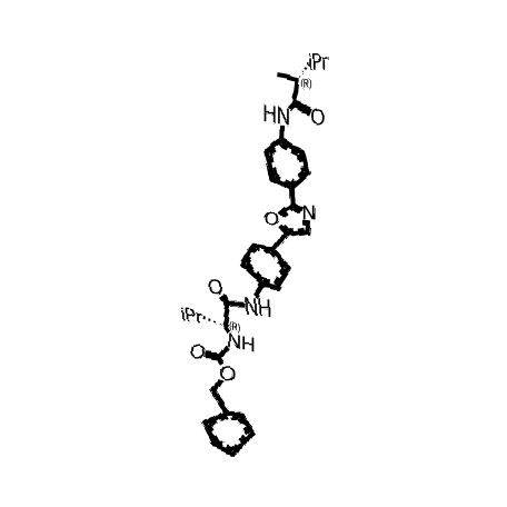 CC(C)[C@@H](C)C(=O)Nc1ccc(-c2ncc(-c3ccc(NC(=O)[C@H](NC(=O)OCc4ccccc4)C(C)C)cc3)o2)cc1